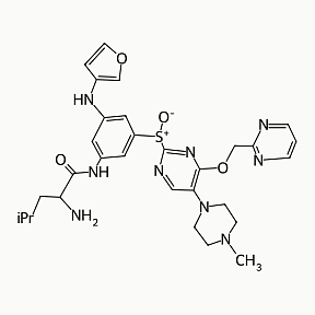 CC(C)CC(N)C(=O)Nc1cc(Nc2ccoc2)cc([S+]([O-])c2ncc(N3CCN(C)CC3)c(OCc3ncccn3)n2)c1